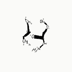 CC(C)(C)OC(=O)NN.CC=CC